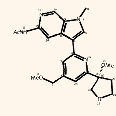 COCc1cc(-c2cn(C)c3cnc(NC(C)=O)cc23)nc([C@@]2(OC)CCOC2)c1